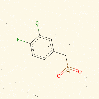 O=[SH](=O)Cc1ccc(F)c(Cl)c1